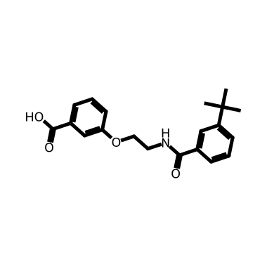 CC(C)(C)c1cccc(C(=O)NCCOc2cccc(C(=O)O)c2)c1